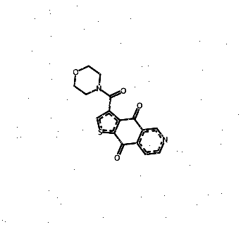 O=C1c2ccncc2C(=O)c2c(C(=O)N3CCOCC3)csc21